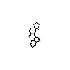 O=C1CCC2(CC1c1c[nH]c3ccccc13)OCCO2